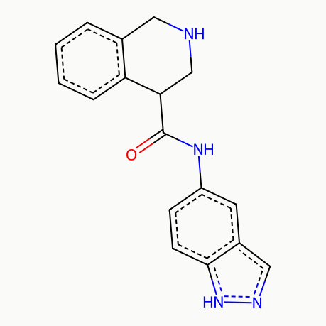 O=C(Nc1ccc2[nH]ncc2c1)C1CNCc2ccccc21